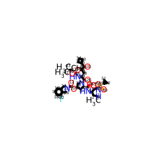 CCCC(NC(=O)[C@@H]1C[C@@H](OC(=O)N2Cc3cccc(F)c3C2)CN1C(=O)[C@H](CCC(=O)C1=CCC1)NC(=O)OC(C)(C)C)C(=O)NS(=O)(=O)C1CC1